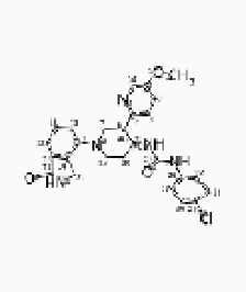 COc1ccc([C@@H]2CN(c3cccc4c3CNC4=O)CC[C@H]2NC(=O)Nc2ccc(Cl)cc2)nc1